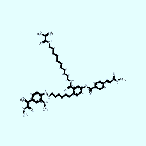 C=C(C)C(=O)OCCCCCCCCCCCOC(=O)c1cc(OC(=O)c2ccc(C=CC(=O)OC)cc2)ccc1CCCCCCOOc1ccc(C(=C)C(=O)OC)cc1OC